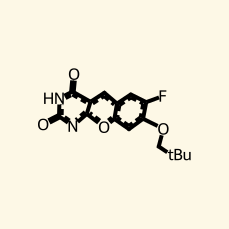 CC(C)(C)COc1cc2oc3nc(=O)[nH]c(=O)c-3cc2cc1F